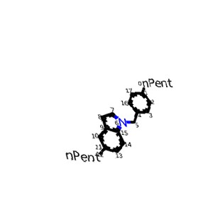 CCCCCc1ccc(Cn2ccc3cc(CCCCC)ccc32)cc1